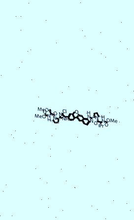 COC(=O)N[C@H](C(=O)N1[C@@H](C)CC[C@H]1c1nc2ccc3cc4c(cc3c2[nH]1)OCc1cc(-c2[nH]c([C@@H]3CC[C@H](C)N3C(=O)[C@@H](NC(=O)OC)[C@@H](C)OC)nc2Cl)ccc1-4)C(C)C